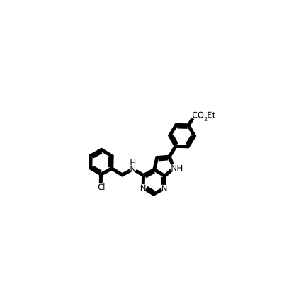 CCOC(=O)c1ccc(-c2cc3c(NCc4ccccc4Cl)ncnc3[nH]2)cc1